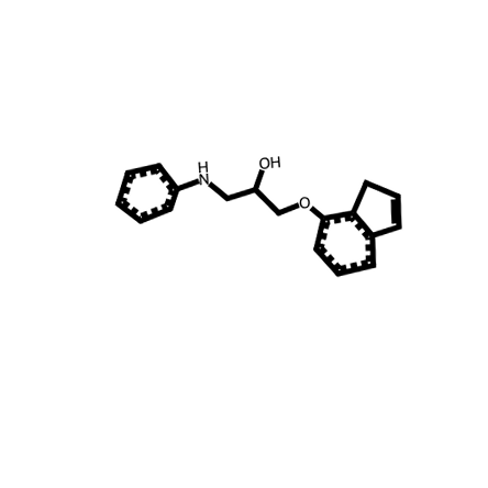 OC(CNc1ccccc1)COc1cccc2c1CC=C2